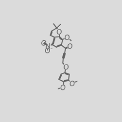 COc1ccc(OCC#CC(=O)c2cc([N+](=O)[O-])c3c(c2OC)OC(C)(C)C=C3)cc1OC